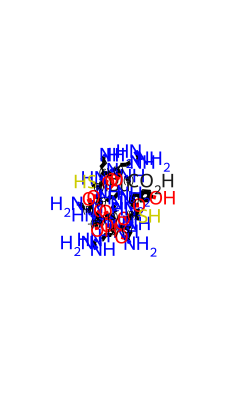 CCCC[C@H](NC(=O)[C@H](CCCNC(=N)N)NC(=O)[C@H](CCCN)NC(=O)[C@H](CS)NC(=O)[C@H](CCCCN)NC(=O)[C@@H](CCN)NC(=O)[C@@H](NC(=O)[C@H](CCN)NC(=O)[C@H](CCCNC(=N)N)NC(=O)[C@H](CC(N)=O)NC(=O)[C@@H](NC(=O)[C@@H](N)Cc1ccc(O)cc1)C(C)(C)S)[C@@H](C)O)C(=O)O